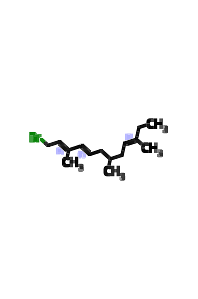 CC/C(C)=C/CC(C)C/C=C/C(C)=C/CBr